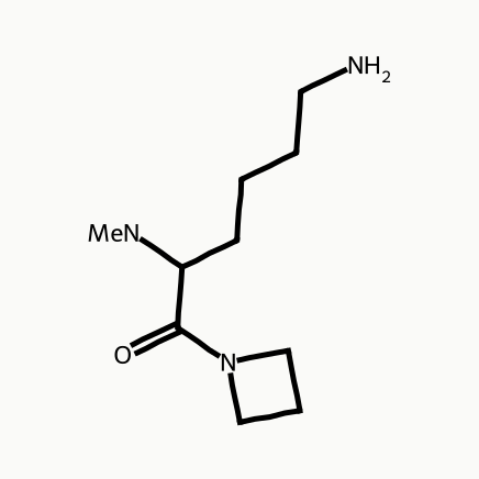 CNC(CCCCN)C(=O)N1CCC1